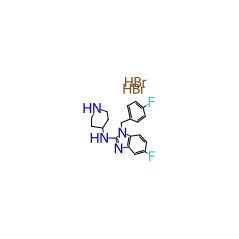 Br.Br.Fc1ccc(Cn2c(NC3CCNCC3)nc3cc(F)ccc32)cc1